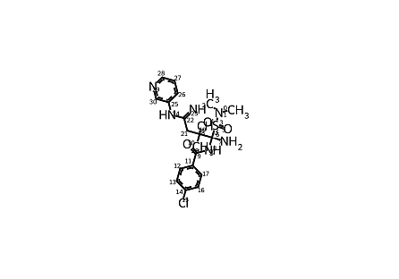 CN(C)S(=O)(=O)[C@](N)(NC(=O)c1ccc(Cl)cc1)C(C)(C)CC(=N)Nc1cccnc1